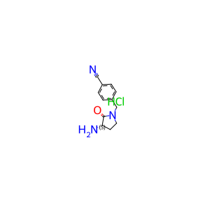 Cl.N#Cc1ccc(CN2CC[C@H](N)C2=O)cc1